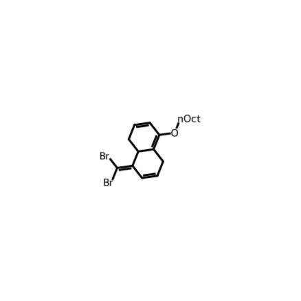 CCCCCCCCOC1=C2CC=CC(=C(Br)Br)C2CC=C1